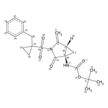 C=C1[C@@H]2C[C@]2(NC(=O)OC(C)(C)C)C(=O)N1S(=O)(=O)C1(Cc2ccccc2)CC1